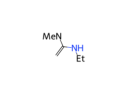 C=C(NC)NCC